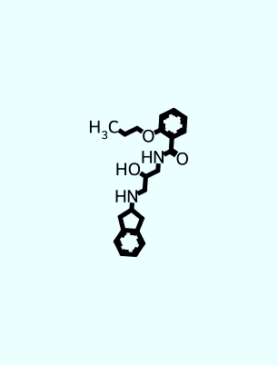 CCCOc1ccccc1C(=O)NCC(O)CNC1Cc2ccccc2C1